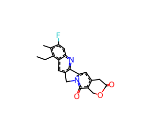 CCc1c(C)c(F)cc2nc3c(cc12)Cn1c-3cc2c(c1=O)COC(=O)C2